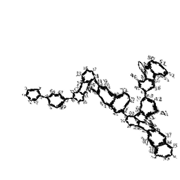 c1ccc(-c2ccc(-c3ccc4c(c3)c3cccc5c6cc7ccc(-c8ccc9c%10cc%11ccccc%11cc%10n%10c%11ccc(-c%12ccc%13oc%14ccccc%14c%13c%12)cc%11c8c9%10)cc7cc6n4c35)cc2)cc1